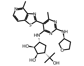 Cc1nc(N[C@H]2CCOC2)nc(N[C@@H]2C[C@H](C(C)(C)O)[C@@H](O)[C@H]2O)c1-c1nc2c(C)nccc2s1